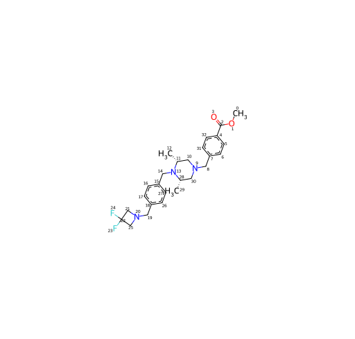 COC(=O)c1ccc(CN2C[C@@H](C)N(Cc3ccc(CN4CC(F)(F)C4)cc3)[C@@H](C)C2)cc1